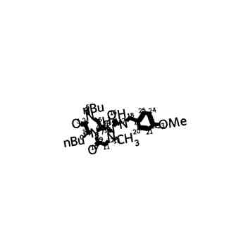 CCCC[C@H]1C(=O)N(CCCC)C[C@H]2N1C(=O)CN(C)N2C(=O)NCc1ccc(OC)cc1